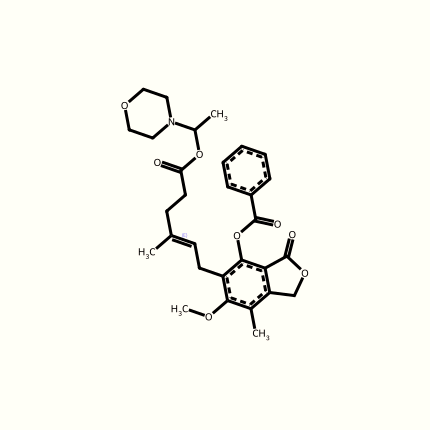 COc1c(C)c2c(c(OC(=O)c3ccccc3)c1C/C=C(\C)CCC(=O)OC(C)N1CCOCC1)C(=O)OC2